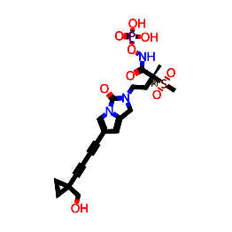 C[C@@](CCN1Cc2cc(C#CC#CC3(CO)CC3)cn2C1=O)(C(=O)NOP(=O)(O)O)S(C)(=O)=O